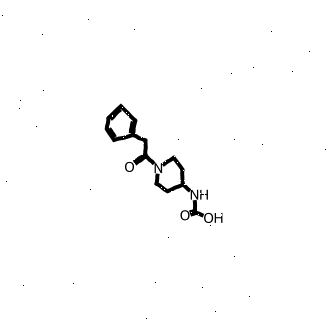 O=C(O)NC1CCN(C(=O)Cc2ccccc2)CC1